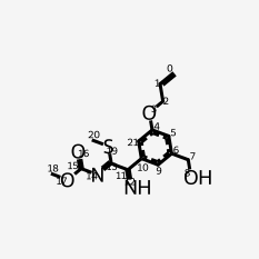 C=CCOc1cc(CO)cc(C(=N)C(=NC(=O)OC)SC)c1